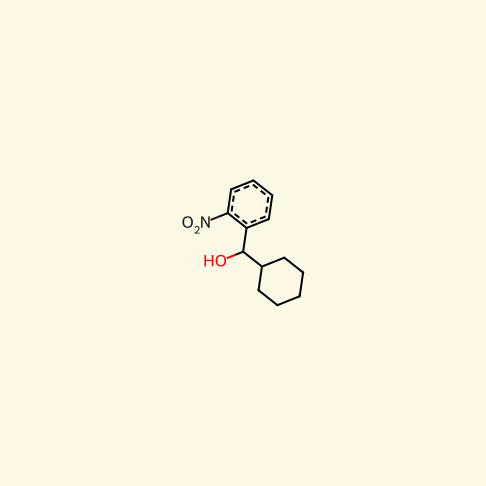 O=[N+]([O-])c1ccccc1C(O)C1CCCCC1